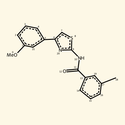 COc1cccc(-c2csc(NC(=O)c3cccc(C)c3)n2)c1